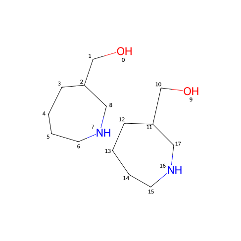 OCC1CCCCNC1.OCC1CCCCNC1